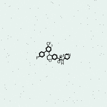 O=S(=O)(Nc1ccncn1)c1ccc2c(c1)OCC[C@H]2c1ccc(C(F)(F)F)cc1-c1ccc(F)cc1